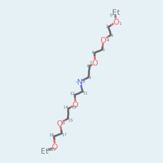 CCOCCOCCOCC[N]CCOCCOCCOCC